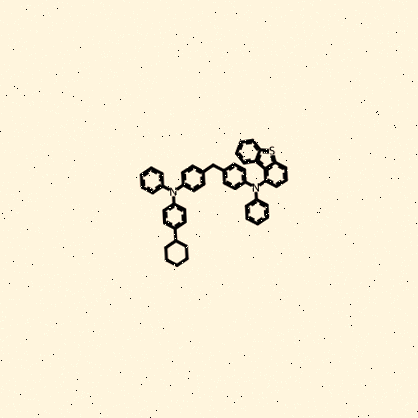 c1ccc(N(c2ccc(Cc3ccc(N(c4ccccc4)c4cccc5sc6ccccc6c45)cc3)cc2)c2ccc(C3CCCCC3)cc2)cc1